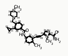 Cc1ccc(NC(=O)c2ccc(CN3CCN(C)CC3)c(C3CC3)c2)cc1C#Cc1cnc(C(N)=O)n1C